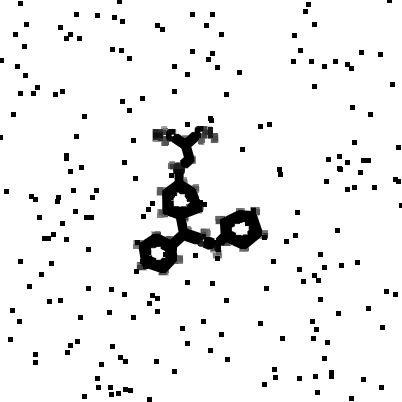 CC(C)COc1ccc(C(=C=Nc2ccccc2)c2ccccc2)cc1